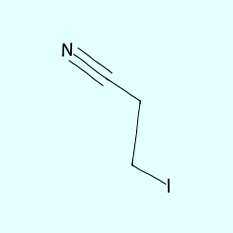 N#CCCI